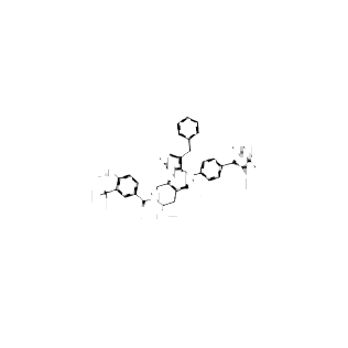 C[C@@H]1Cc2c(n3ncc(Cc4ccccc4)c3n(-c3ccc(-c4nnn[nH]4)cc3)c2=O)CN1C(=O)c1ccc(Br)c(C(F)(F)F)c1